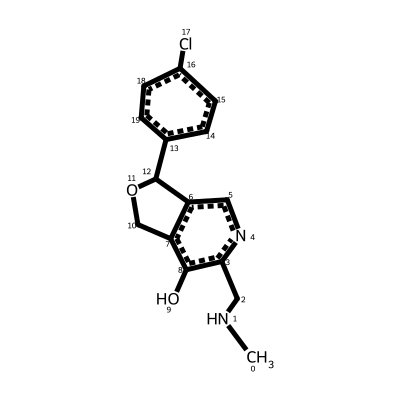 CNCc1ncc2c(c1O)COC2c1ccc(Cl)cc1